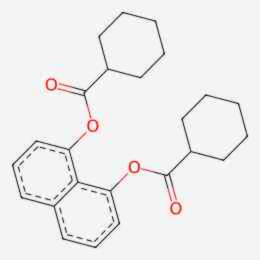 O=C(Oc1cccc2cccc(OC(=O)C3CCCCC3)c12)C1CCCCC1